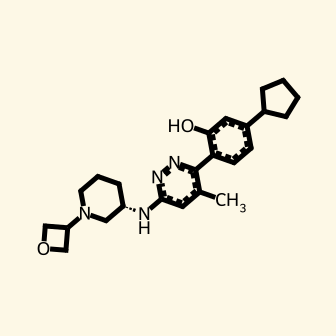 Cc1cc(N[C@H]2CCCN(C3COC3)C2)nnc1-c1ccc(C2CCCC2)cc1O